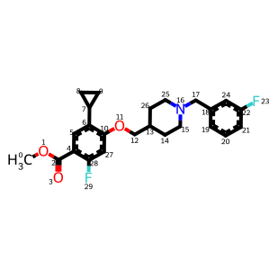 COC(=O)c1cc(C2CC2)c(OCC2CCN(Cc3cccc(F)c3)CC2)cc1F